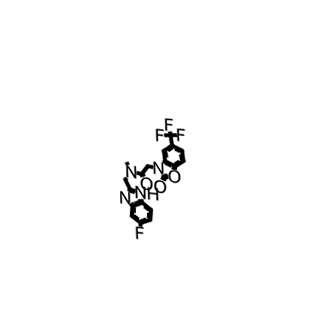 CN(Cc1nc2cc(F)ccc2[nH]1)C(=O)Cn1c(=O)oc2ccc(C(F)(F)F)cc21